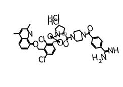 Cc1cc(C)c2cccc(OCc3c(Cl)ccc(S(=O)(=O)N4CCC[C@H]4C(=O)N4CCN(C(=O)c5ccc(C(=N)N)cc5)CC4)c3Cl)c2n1.Cl.Cl